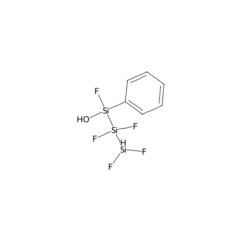 O[Si](F)(c1ccccc1)[Si](F)(F)[SiH](F)F